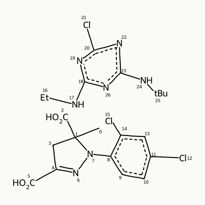 CC1(C(=O)O)CC(C(=O)O)=NN1c1ccc(Cl)cc1Cl.CCNc1nc(Cl)nc(NC(C)(C)C)n1